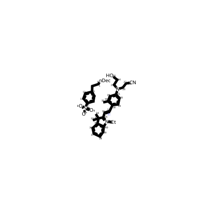 CCCCCCCCCCCCc1ccc(S(=O)(=O)[O-])cc1.CC[N+]1=C(/C=C/c2ccc(N(CCO)CCC#N)cc2C)C(C)(C)c2ccccc21